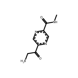 BCC(=O)c1cnc(C(=O)NC)cn1